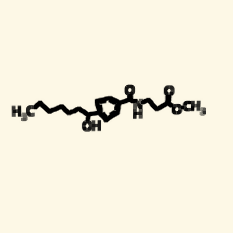 CCCCCCC(O)c1ccc(C(=O)NCCC(=O)OC)cc1